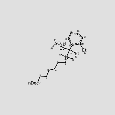 CCCCCCCCCCCCCCCC[N+](C)(C)C(CC)(CC)c1ccccc1CC.CS(=O)(=O)O